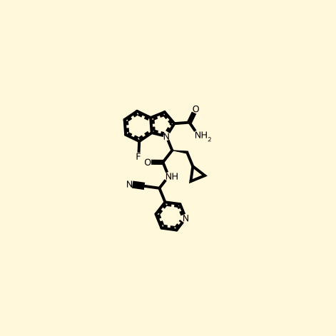 N#CC(NC(=O)[C@H](CC1CC1)n1c(C(N)=O)cc2cccc(F)c21)c1cccnc1